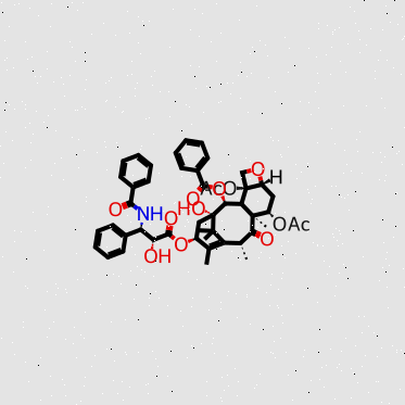 CC(=O)O[C@H]1C[C@H]2OC[C@@]2(OC(C)=O)C2[C@H](OC(=O)c3ccccc3)[C@]3(O)C[C@H](OC(=O)[C@H](O)[C@@H](NC(=O)c4ccccc4)c4ccccc4)C(C)=C([C@@H](C)C(=O)[C@@]21C)C3(C)C